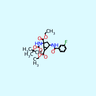 CCOC(=O)C1C2C(NC(=O)c3cccc(F)c3)CC(NC(=O)OC(C)(C)C)(C(=O)OCC)C12